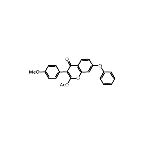 COc1ccc(-c2c(OC(C)=O)oc3cc(Oc4ccccc4)ccc3c2=O)cc1